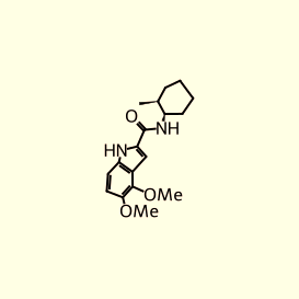 COc1ccc2[nH]c(C(=O)N[C@@H]3CCCC[C@@H]3C)cc2c1OC